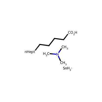 CCCCCCCCCCCC(=O)O.CN(C)C.[SnH2]